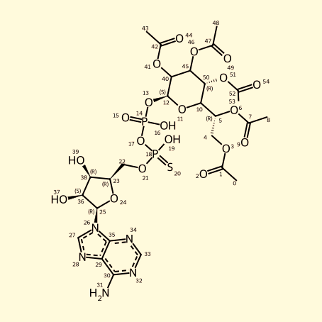 CC(=O)OC[C@@H](OC(C)=O)C1O[C@@H](OP(=O)(O)OP(O)(=S)OC[C@H]2O[C@@H](n3cnc4c(N)ncnc43)[C@@H](O)[C@H]2O)C(OC(C)=O)C(OC(C)=O)[C@@H]1OC(C)=O